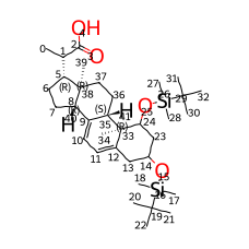 CC(C(=O)O)[C@H]1CC[C@H]2C3=CC=C4CC(O[Si](C)(C)C(C)(C)C)CC(O[Si](C)(C)C(C)(C)C)[C@]4(C)[C@H]3CC[C@]12C